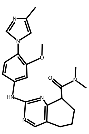 COc1cc(Nc2ncc3c(n2)C(C(=O)N(C)C)CCC3)ccc1-n1cnc(C)c1